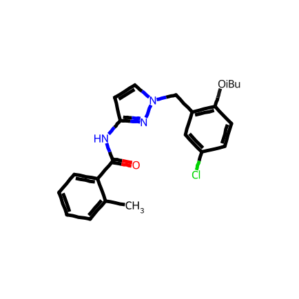 Cc1ccccc1C(=O)Nc1ccn(Cc2cc(Cl)ccc2OCC(C)C)n1